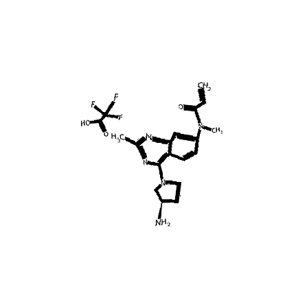 C=CC(=O)N(C)c1ccc2c(N3CC[C@@H](N)C3)nc(C)nc2c1.O=C(O)C(F)(F)F